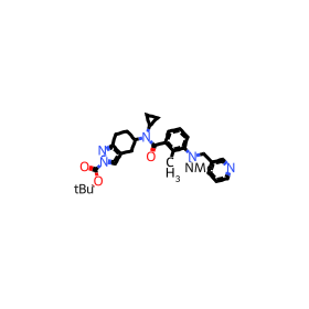 CNN(Cc1cccnc1)c1cccc(C(=O)N(C2CC2)C2CCc3nn(C(=O)OC(C)(C)C)cc3C2)c1C